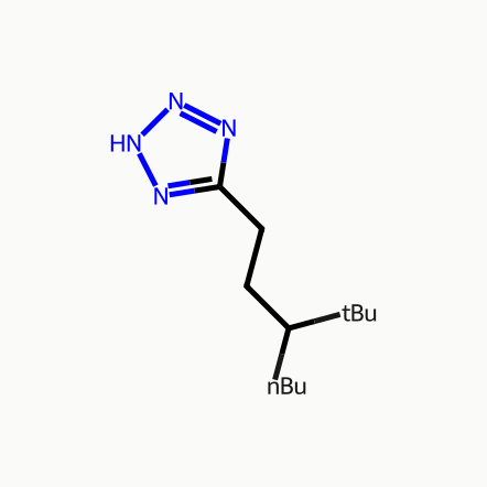 CCCCC(CCc1nn[nH]n1)C(C)(C)C